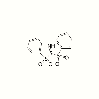 N=S(S(=O)(=O)c1ccccc1)S(=O)(=O)c1ccccc1